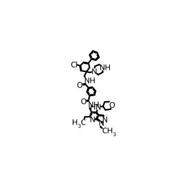 CCc1nc2c(cnn2CC)c(NC2CCOCC2)c1CNC(=O)c1cccc(C(=O)NCC2(CN3CCNCC3)C=C(Cl)C=C(c3ccccc3)C2)c1